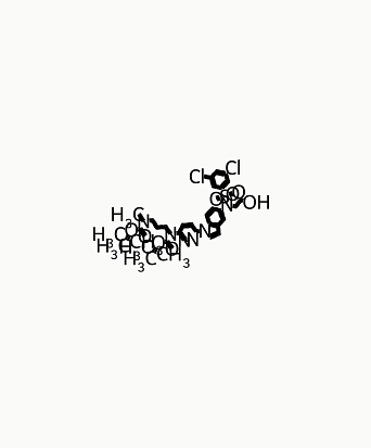 CN(CCCN(C(=O)OC(C)(C)C)c1ccc(-n2ccc3cc(N(CC(=O)O)S(=O)(=O)c4cc(Cl)cc(Cl)c4)ccc32)nn1)C(=O)OC(C)(C)C